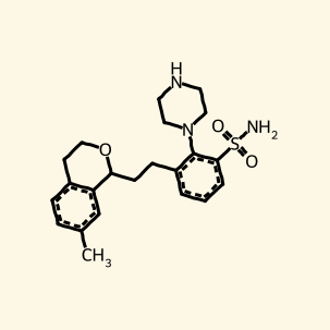 Cc1ccc2c(c1)C(CCc1cccc(S(N)(=O)=O)c1N1CCNCC1)OCC2